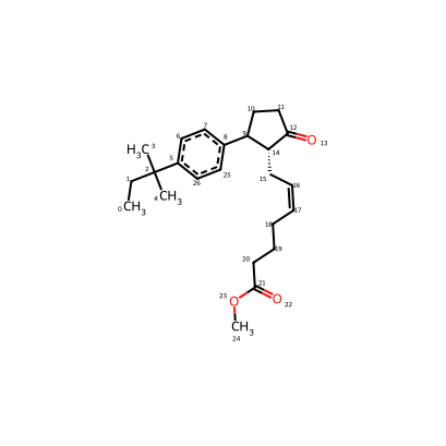 CCC(C)(C)c1ccc(C2CCC(=O)[C@@H]2C/C=C\CCCC(=O)OC)cc1